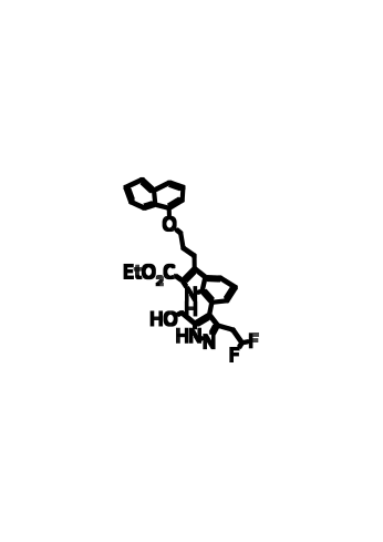 CCOC(=O)c1[nH]c2c(-c3c(CC(F)F)n[nH]c3CO)cccc2c1CCCOc1cccc2ccccc12